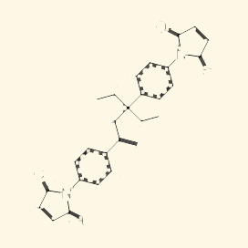 C=C(CC(CC)(CC)c1ccc(N2C(=O)C=CC2=O)cc1)c1ccc(N2C(=O)C=CC2=O)cc1